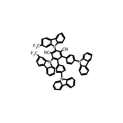 N#Cc1c(-c2ccc(-n3c4ccccc4c4ccccc43)cc2)c(-c2ccc(-n3c4ccccc4c4ccccc43)cc2)c(-n2c3ccccc3c3ccc(C(F)(F)F)cc32)c(C#N)c1-n1c2ccccc2c2ccc(C(F)(F)F)cc21